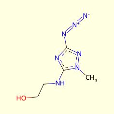 Cn1nc(N=[N+]=[N-])nc1NCCO